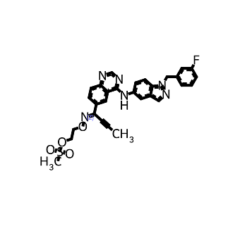 CC#C/C(=N\OCCOS(C)(=O)=O)c1ccc2ncnc(Nc3ccc4c(cnn4Cc4cccc(F)c4)c3)c2c1